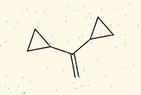 [CH]=C(C1CC1)C1CC1